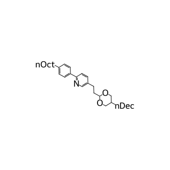 CCCCCCCCCCC1COC(CCc2ccc(-c3ccc(CCCCCCCC)cc3)nc2)OC1